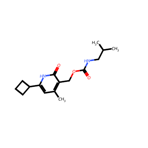 Cc1cc(C2CCC2)[nH]c(=O)c1COC(=O)NCC(C)C